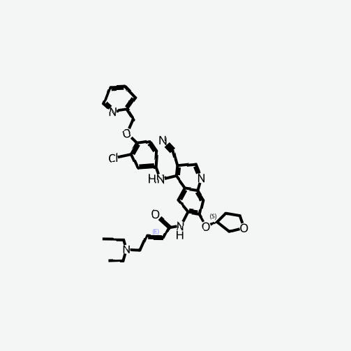 CCN(CC)C/C=C/C(=O)Nc1cc2c(Nc3ccc(OCc4ccccn4)c(Cl)c3)c(C#N)cnc2cc1O[C@H]1CCOC1